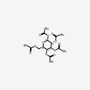 CC(C)(C)C(=O)OC[C@H]1O[C@@H](OC(=O)C(C)(C)C)[C@H](OC(=O)C(C)(C)C)[C@@H](OC(=O)C(C)(C)C)[C@H]1OC(=O)C(C)(C)C